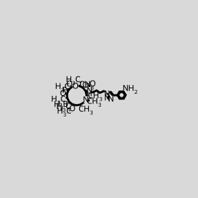 B[C@@H]1[C@@H](C)C(=O)[C@](C)(F)C(=O)O[C@H](CC)[C@@]2(C)OC(=O)N(CCCCn3cc(-c4cccc(N)c4)nn3)[C@@H]2[C@@H](C)N(C)C[C@H](C)C[C@@]1(C)OC